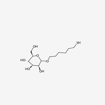 OC[C@H]1OC(OCCCCCCS)[C@@H](O)[C@@H](O)[C@@H]1O